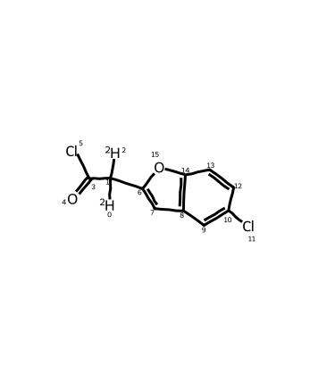 [2H]C([2H])(C(=O)Cl)c1cc2cc(Cl)ccc2o1